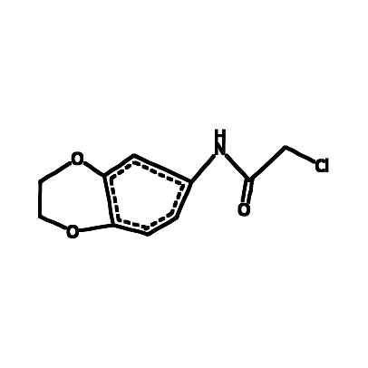 O=C(CCl)Nc1ccc2c(c1)OCCO2